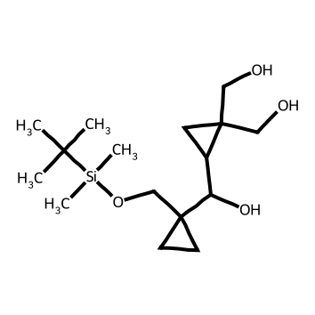 CC(C)(C)[Si](C)(C)OCC1(C(O)C2CC2(CO)CO)CC1